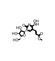 COC(=O)C=Cc1cn([C@@H]2O[C@H](CO)[C@@H](O)[C@H]2O)c(=O)nc1NO